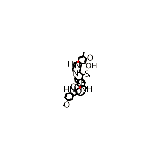 COc1ccc2[nH]c3c(c2c1)CCNC3N1CC2c3c4c(c(C)c1c3C(SC)C1C3c5c(cc(C)c(OC)c5O)C[C@H](CN21)N3C)OCO4